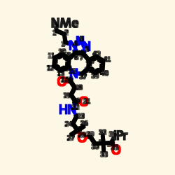 CNCCCn1nnc2c1-c1ccccc1N(C(=O)CCC(=O)NCCC(C)(C)OCCC(C)(C)C(=O)C(C)C)Cc1ccccc1-2